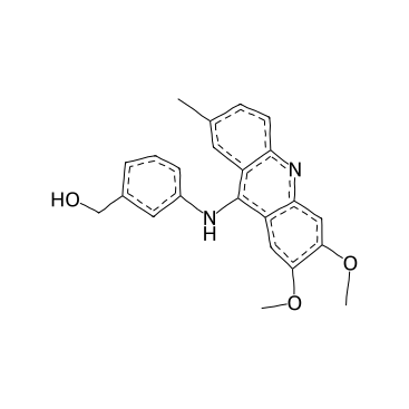 COc1cc2nc3ccc(C)cc3c(Nc3cccc(CO)c3)c2cc1OC